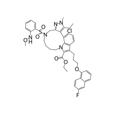 CCOC(=O)c1c(CCCOc2cccc3cc(F)ccc23)c2ccc(Cl)c3c2n1CCCCN(S(=O)(=O)c1ccccc1NOC)Cc1nn(C)c(CC)c1-3